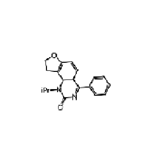 CC(C)N1C(=O)N=C(c2ccccc2)C2C=CC3=C(CCO3)C21